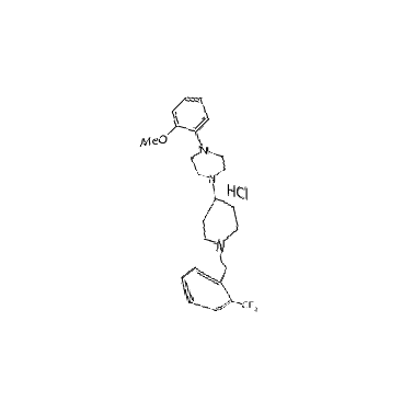 COc1ccccc1N1CCN(C2CCN(Cc3ccccc3C(F)(F)F)CC2)CC1.Cl